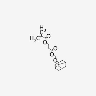 C=C(C)C(=O)OCCC(=O)OCOC12CC3CC(CC(C3)C1)C2